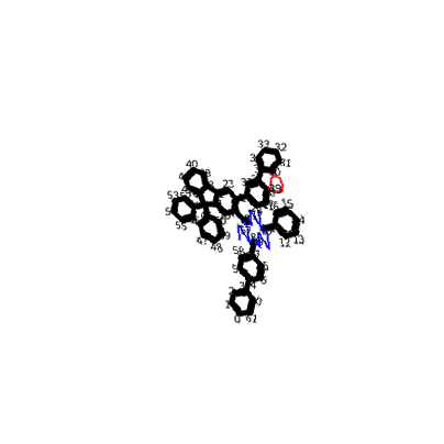 c1ccc(-c2ccc(-c3nc(-c4ccccc4)nc(-c4cc5c(cc4-c4ccc6oc7ccccc7c6c4)-c4ccccc4C5(c4ccccc4)c4ccccc4)n3)cc2)cc1